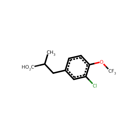 CC(Cc1ccc(OC(F)(F)F)c(Cl)c1)C(=O)O